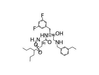 CCCC(CCC)S(=O)(=O)C[C@H](N)C(=O)N[C@@H](Cc1cc(F)cc(F)c1)[C@H](O)CNCc1cccc(CC)c1